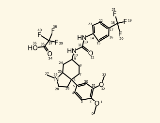 COc1ccc(C23CCC(NC(=O)Nc4ccc(C(F)(F)F)cc4)CC2N(C)CC3)cc1OC.O=C(O)C(F)(F)F